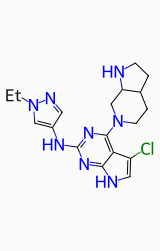 CCn1cc(Nc2nc(N3CCC4CCNC4C3)c3c(Cl)c[nH]c3n2)cn1